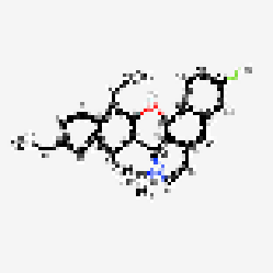 Cc1c2c(c(CC(C)(C)C)c3ccc(CC(C)(C)C)cc13)Oc1c3ccc(F)cc3cc3cc[n+](C)c-2c13